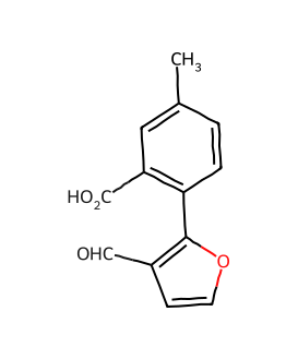 Cc1ccc(-c2occc2C=O)c(C(=O)O)c1